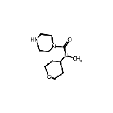 CN(C(=O)N1CCNCC1)C1CCOCC1